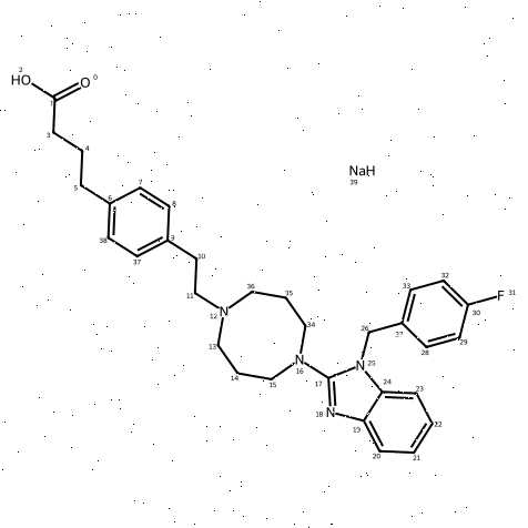 O=C(O)CCCc1ccc(CCN2CCCN(c3nc4ccccc4n3Cc3ccc(F)cc3)CCC2)cc1.[NaH]